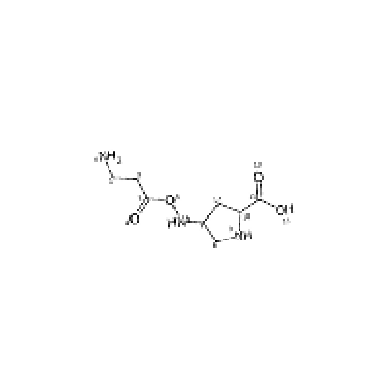 NCCC(=O)ONC1CNC(C(=O)O)C1